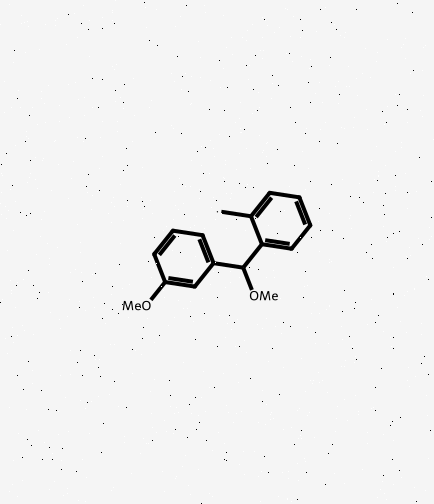 [CH2]c1ccccc1C(OC)c1cccc(OC)c1